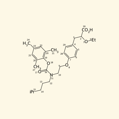 CCOC(Cc1ccc(OCCN(CCCC(C)C)C(=O)Oc2c(C)cc(C)cc2C)cc1)C(=O)O